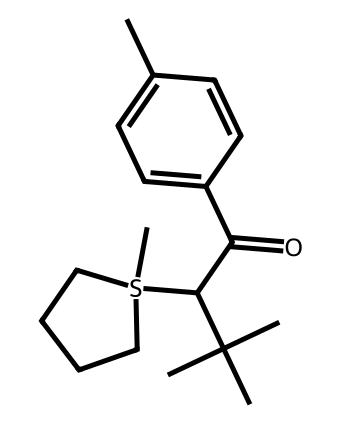 Cc1ccc(C(=O)C(C(C)(C)C)S2(C)CCCC2)cc1